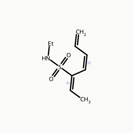 C=C/C=C\C(=C/C)S(=O)(=O)NCC